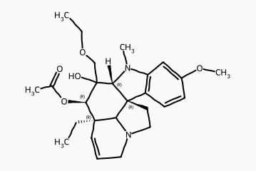 CCOCC1(O)[C@H](OC(C)=O)[C@]2(CC)C=CCN3CC[C@@]4(c5ccc(OC)cc5N(C)[C@@H]14)C32